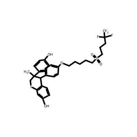 CC1(c2ccc(O)cc2)CSc2cc(O)ccc2C1c1ccc(OCCCCCS(=O)(=O)CCCC(F)(F)C(F)(F)F)cc1